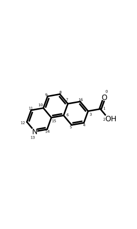 O=C(O)c1ccc2c(ccc3ccncc32)c1